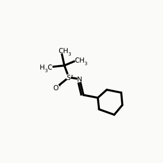 CC(C)(C)[S+]([O-])N=CC1CCCCC1